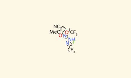 COc1c(C#N)ccc(O[C@@H](C)C(F)(F)F)c1C(=O)N1CC(Nc2ncc(C(F)(F)F)cc2F)C1